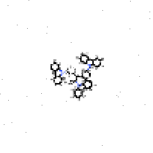 C=C(/C(=C\C=C(/C)n1c2ccccc2c2ccccc21)c1cccc(-n2c3ccccc3c3ccccc32)c1)n1c2ccccc2c2ccccc21